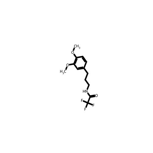 COc1ccc(CCCNC(=O)C(F)(F)F)cc1OC